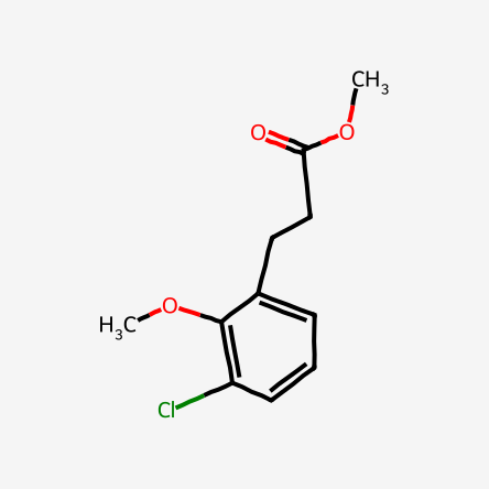 COC(=O)CCc1cccc(Cl)c1OC